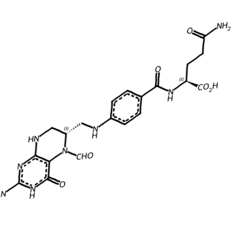 NC(=O)CC[C@H](NC(=O)c1ccc(NC[C@H]2CNc3nc(N)[nH]c(=O)c3N2C=O)cc1)C(=O)O